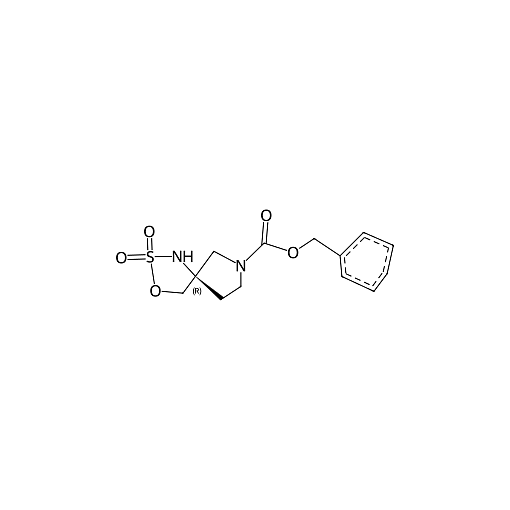 O=C(OCc1ccccc1)N1CC[C@]2(COS(=O)(=O)N2)C1